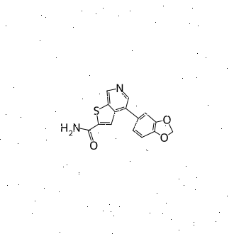 NC(=O)c1cc2c(-c3ccc4c(c3)OCO4)cncc2s1